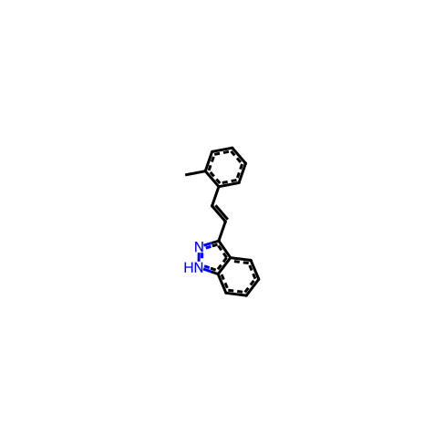 Cc1ccccc1C=Cc1n[nH]c2ccccc12